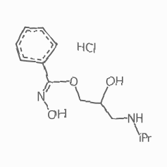 CC(C)NCC(O)COC(=NO)c1ccccc1.Cl